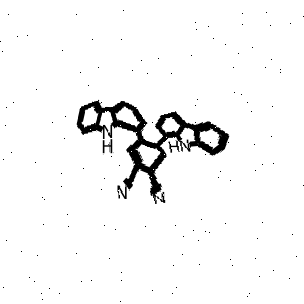 N#Cc1cc(-c2cccc3c2[nH]c2ccccc23)c(-c2cccc3c2[nH]c2ccccc23)cc1C#N